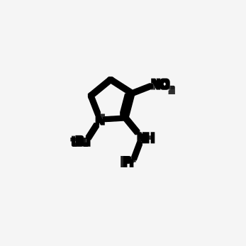 CC(C)NC1=C([N+](=O)[O-])CCN1C(C)(C)C